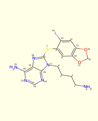 NCCCCn1c(Sc2cc3c(cc2I)OCO3)nc2c(N)ncnc21